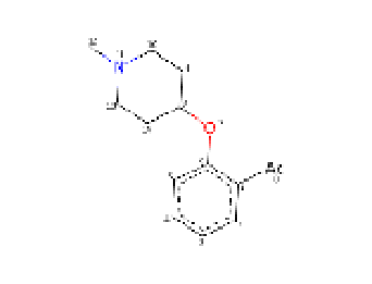 CC(=O)c1ccccc1OC1CCN(C)CC1